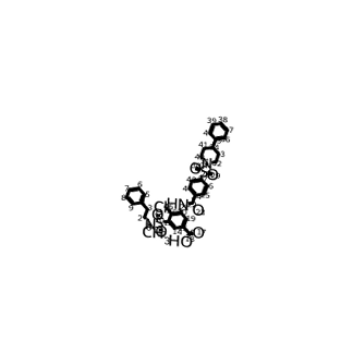 CN(CCc1ccccc1)S(=O)(=O)c1cc(C(=O)O)cc(NC(=O)c2ccc(S(=O)(=O)N3CCC(c4ccccc4)CC3)cc2)c1Cl